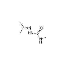 CNC(=O)NN=C(C)C